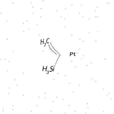 C=C[SiH3].[Pt]